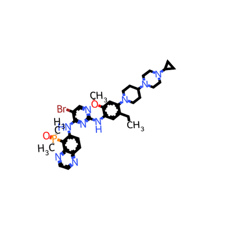 CCc1cc(Nc2ncc(Br)c(Nc3ccc4nccnc4c3P(C)(C)=O)n2)c(OC)cc1N1CCC(N2CCN(C3CC3)CC2)CC1